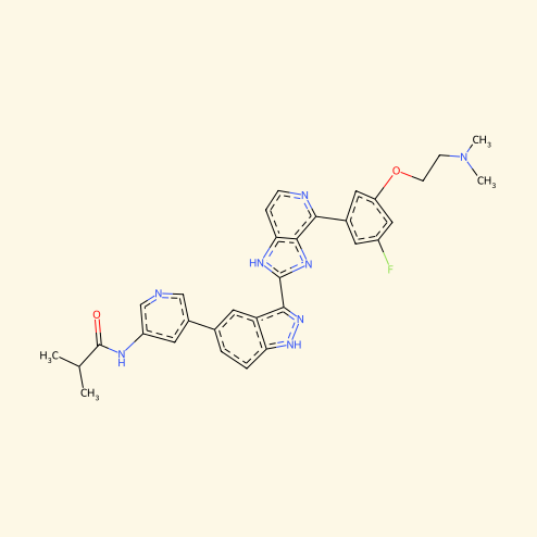 CC(C)C(=O)Nc1cncc(-c2ccc3[nH]nc(-c4nc5c(-c6cc(F)cc(OCCN(C)C)c6)nccc5[nH]4)c3c2)c1